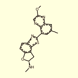 CN[C@@H]1Cc2c(ccc3nc(-c4cc(C)cc5nc(OC)cnc45)sc23)O1